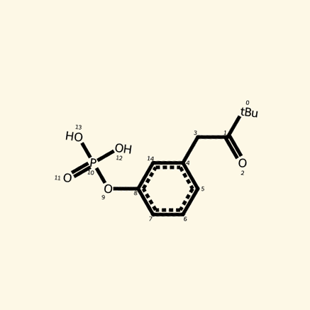 CC(C)(C)C(=O)Cc1cccc(OP(=O)(O)O)c1